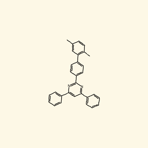 Cc1ccc(C)c(-c2ccc(-c3nc(-c4ccccc4)cc(-c4ccccc4)n3)cc2)c1